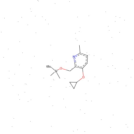 Cc1ccc(OC2CC2)c(CO[Si](C)(C)C(C)(C)C)n1